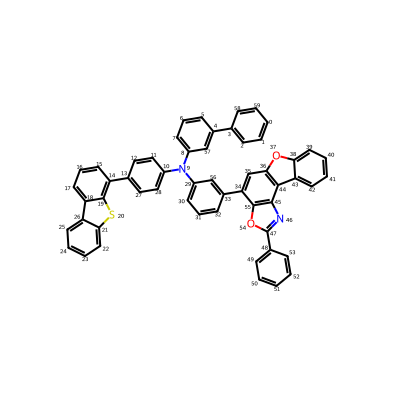 c1ccc(-c2cccc(N(c3ccc(-c4cccc5c4sc4ccccc45)cc3)c3cccc(-c4cc5oc6ccccc6c5c5nc(-c6ccccc6)oc45)c3)c2)cc1